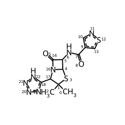 CC1(C)SC2C(NC(=O)c3cnsc3)C(=O)N2C1c1nnn[nH]1